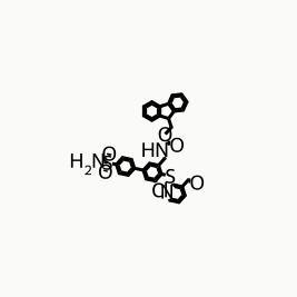 NS(=O)(=O)c1ccc(-c2cc(Cl)c(Sc3ncccc3C=O)c(CNC(=O)OCC3c4ccccc4-c4ccccc43)c2)cc1